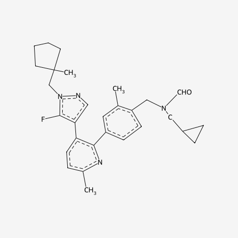 Cc1ccc(-c2cnn(CC3(C)CCCC3)c2F)c(-c2ccc(CN(C=O)CC3CC3)c(C)c2)n1